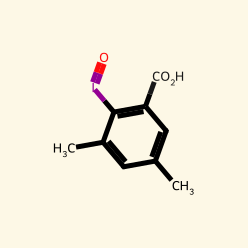 Cc1cc(C)c(I=O)c(C(=O)O)c1